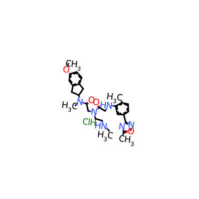 CCNCCN(CC(=O)N(C)C1Cc2ccc(OC)cc2C1)C(=O)CNc1cc(-c2noc(C)n2)ccc1C.Cl